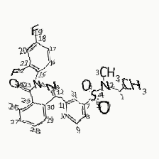 CCN(C)S(=O)(=O)c1cccc(-c2nn(-c3ccc(F)cc3F)c(=O)c3ccccc23)c1